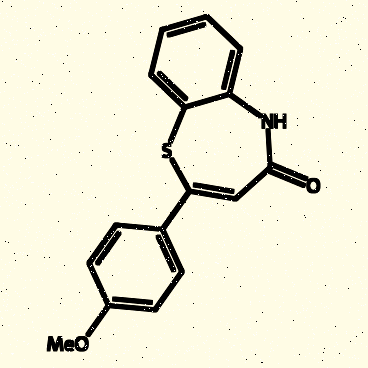 COc1ccc(C2=CC(=O)Nc3ccccc3S2)cc1